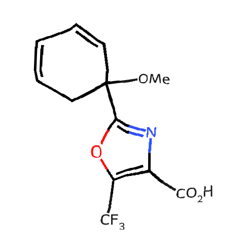 COC1(c2nc(C(=O)O)c(C(F)(F)F)o2)C=CC=CC1